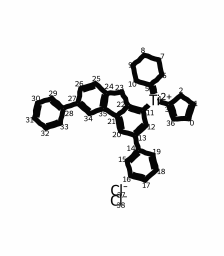 C1=CC[C]([Ti+2](=[C]2CCCCC2)[c]2cc(-c3ccccc3)cc3c2Cc2ccc(-c4ccccc4)cc2-3)=C1.[Cl-].[Cl-]